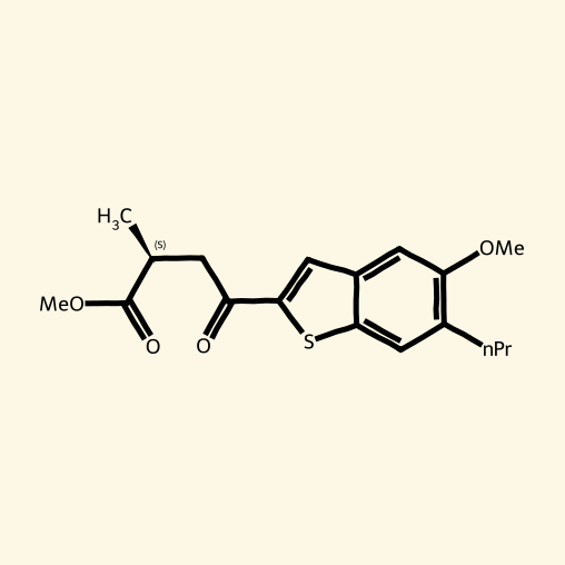 CCCc1cc2sc(C(=O)C[C@H](C)C(=O)OC)cc2cc1OC